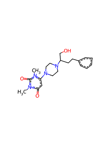 Cn1c(N2CCN(C(CO)CCc3ccccc3)CC2)cc(=O)n(C)c1=O